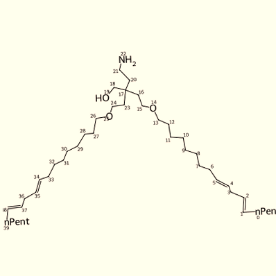 CCCCCC=CCC=CCCCCCCCCOCCC(CO)(CCN)CCOCCCCCCCCC=CCC=CCCCCC